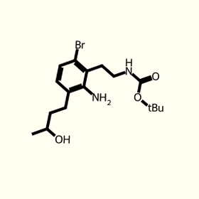 CC(O)CCc1ccc(Br)c(CCNC(=O)OC(C)(C)C)c1N